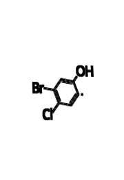 Oc1[c]cc(Cl)c(Br)c1